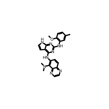 COc1ccc(C)cc1Nc1nc(Nc2ccc3nccnc3c2N(C)C)c2cc[nH]c2n1